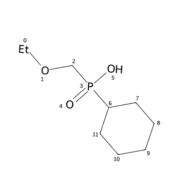 CCOCP(=O)(O)C1CCCCC1